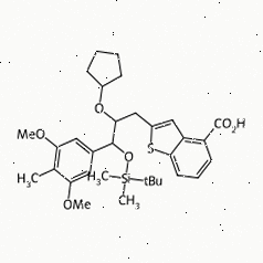 COc1cc(C(O[Si](C)(C)C(C)(C)C)C(Cc2cc3c(C(=O)O)cccc3s2)OC2CCCC2)cc(OC)c1C